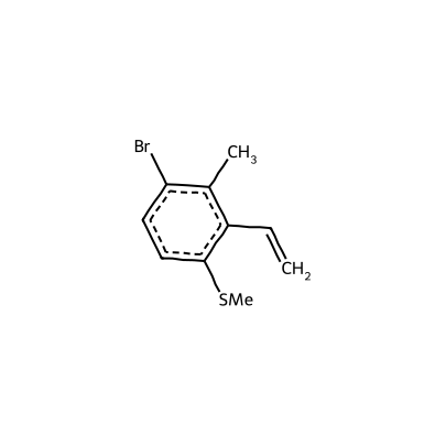 C=Cc1c(SC)ccc(Br)c1C